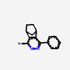 CCc1nnc(-c2ccccc2)c2c1C1CCC2C1